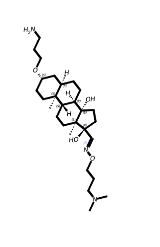 CN(C)CCCO/N=C/[C@@]1(O)CC[C@]2(O)[C@@H]3CC[C@@H]4C[C@@H](OCCCN)CC[C@]4(C)[C@H]3CC[C@]12C